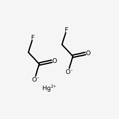 O=C([O-])CF.O=C([O-])CF.[Hg+2]